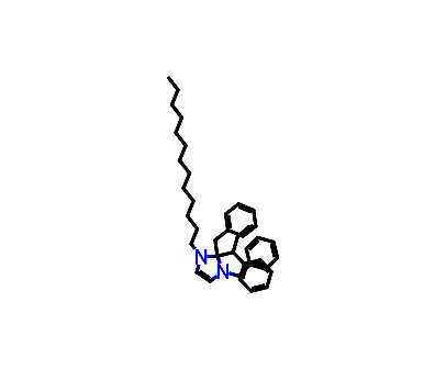 CCCCCCCCCCCCCN1C=CN(Cc2ccccc2)C1(Cc1ccccc1)C(CC)c1ccccc1